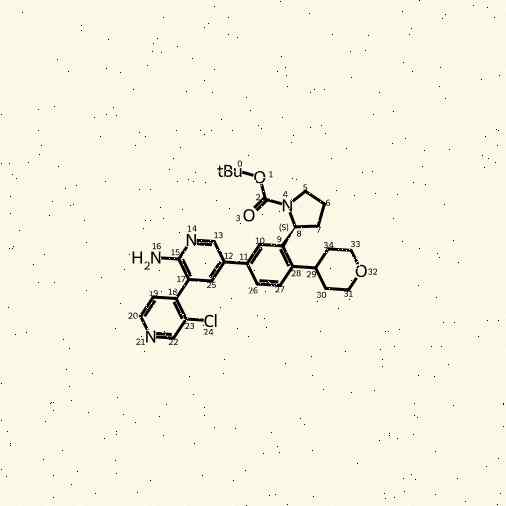 CC(C)(C)OC(=O)N1CCC[C@H]1c1cc(-c2cnc(N)c(-c3ccncc3Cl)c2)ccc1C1CCOCC1